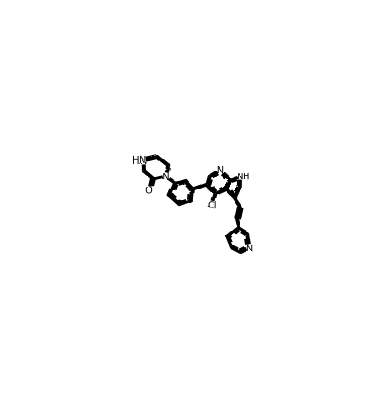 O=C1CNCCN1c1cccc(-c2cnc3[nH]cc(C#Cc4cccnc4)c3c2Cl)c1